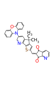 CC1(C)c2cc(N3c4ccccc4Oc4ccccc43)cnc2-c2sc(/C=C3\C(=O)c4cccnc4C3=O)cc21